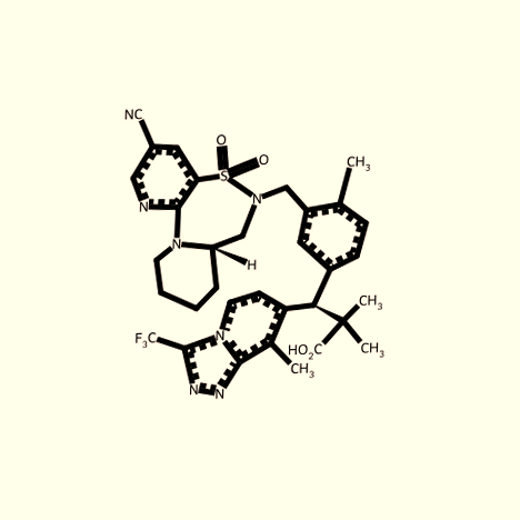 Cc1ccc([C@H](c2ccn3c(C(F)(F)F)nnc3c2C)C(C)(C)C(=O)O)cc1CN1C[C@@H]2CCCCN2c2ncc(C#N)cc2S1(=O)=O